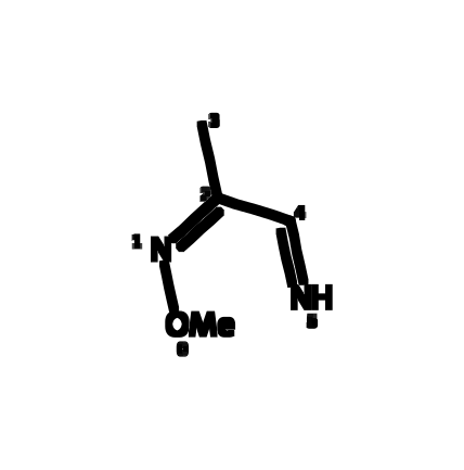 CO/N=C(/C)C=N